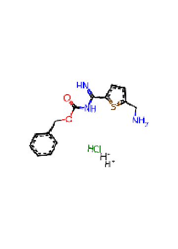 Cl.N=C(NC(=O)OCc1ccccc1)c1ccc(CN)s1.[H+].[H+]